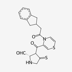 O=C[C@H]1NCC(=S)C1C(=O)C1=CSC=CN1C(=O)CC1Cc2ccccc2C1